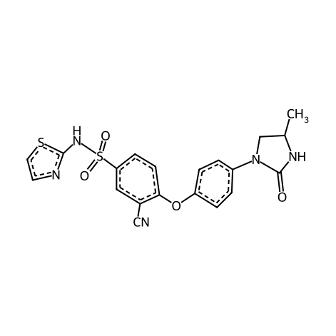 CC1CN(c2ccc(Oc3ccc(S(=O)(=O)Nc4nccs4)cc3C#N)cc2)C(=O)N1